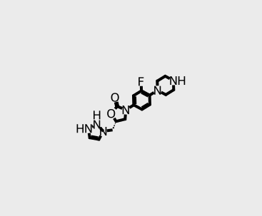 O=C1O[C@@H](CN2C=CNN2)CN1c1ccc(N2CCNCC2)c(F)c1